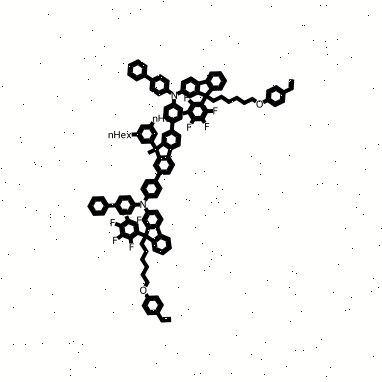 C=Cc1ccc(OCCCCCCC2(c3c(F)c(F)c(F)c(F)c3F)c3ccccc3-c3ccc(N(c4ccc(-c5ccccc5)cc4)c4ccc(-c5ccc6c(c5)C(C)(c5cc(CCCCCC)cc(CCCCCC)c5)c5cc(-c7ccc(N(c8ccc(-c9ccccc9)cc8)c8ccc9c(c8)C(CCCCCCOc8ccc(C=C)cc8)(c8c(F)c(F)c(F)c(F)c8F)c8ccccc8-9)cc7)ccc5-6)cc4)cc32)cc1